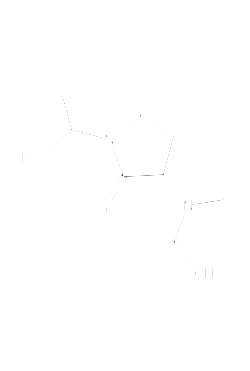 CCN(I)C1CCN(C(C)C)C1=O